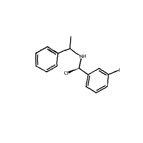 CC(N[C@H](Cl)c1cccc(I)c1)c1ccccc1